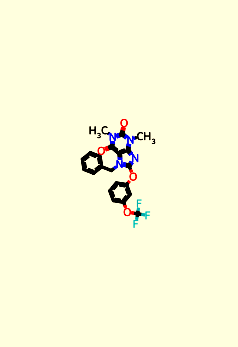 Cn1c(=O)c2c(nc(Oc3cccc(OC(F)(F)F)c3)n2Cc2ccccc2)n(C)c1=O